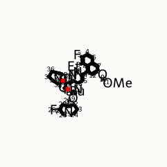 CCc1c(F)ccc2cc(OCOC)cc(-c3cc4nc(OC[C@@]56CCCN5C[C@H](F)C6)nc(N5CC6CCC(C5)N6C(=O)OC(C)(C)C)c4nn3)c12